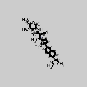 CC[C@H]1OC(O)[C@H](NC(=O)/C(C#N)=C(\C)c2ccc(-c3ccc4cc(N(CC)CC)ccc4c3)n2C)[C@@H](O)[C@@H]1O